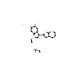 C=Cn1cc(-c2cc3cccnc3[nH]2)c2cc(OC)c(OC)cc21.O=C(O)C(F)(F)F